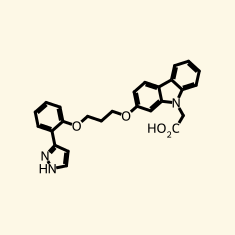 O=C(O)Cn1c2ccccc2c2ccc(OCCCOc3ccccc3-c3cc[nH]n3)cc21